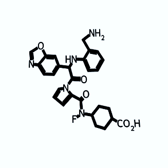 NCc1ccccc1NC(C(=O)n1cccc1C(=O)N(F)C1CCC(C(=O)O)CC1)c1ccc2ncoc2c1